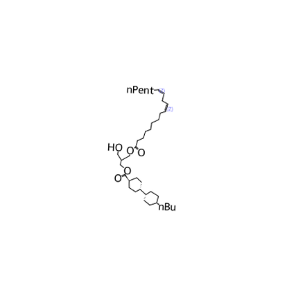 CCCCC/C=C\C/C=C\CCCCCCCC(=O)OCC(CO)COC(=O)[C@H]1CC[C@H]([C@H]2CC[C@H](CCCC)CC2)CC1